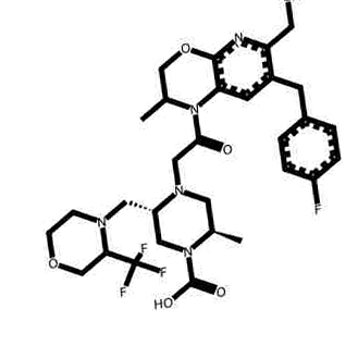 CC1COc2nc(CO)c(Cc3ccc(F)cc3)cc2N1C(=O)CN1C[C@@H](C)N(C(=O)O)C[C@@H]1CN1CCOCC1C(F)(F)F